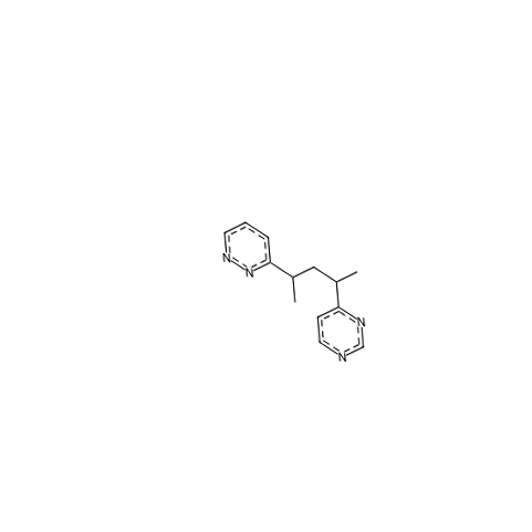 CC(CC(C)c1cccnn1)c1ccncn1